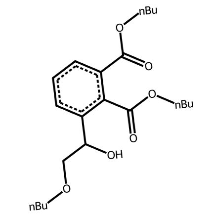 CCCCOCC(O)c1cccc(C(=O)OCCCC)c1C(=O)OCCCC